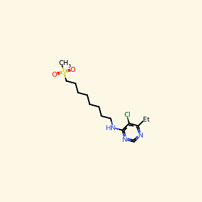 CCc1ncnc(NCCCCCCCCS(C)(=O)=O)c1Cl